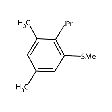 CSc1cc(C)cc(C)c1C(C)C